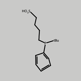 CC(C)(C)P(CCCCS(=O)(=O)O)c1ccccc1